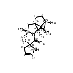 CC1(C)[C@@H]2CC[C@]13CS(=O)(=O)N(C(=O)[C@@]1(C)CC=NN1)[C@@H]3C2